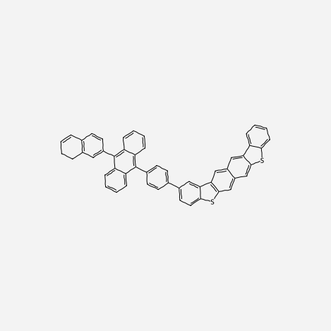 C1=Cc2ccc(-c3c4ccccc4c(-c4ccc(-c5ccc6sc7cc8cc9sc%10ccccc%10c9cc8cc7c6c5)cc4)c4ccccc34)cc2CC1